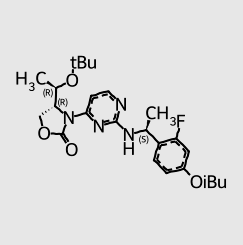 CC(C)COc1ccc([C@H](C)Nc2nccc(N3C(=O)OC[C@@H]3[C@@H](C)OC(C)(C)C)n2)c(F)c1